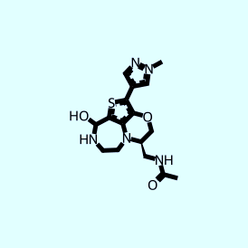 CC(=O)NC[C@@H]1COc2c(-c3cnn(C)c3)sc3c2N1CCNC3O